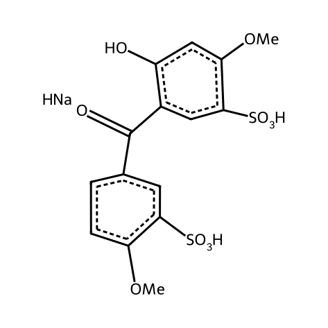 COc1ccc(C(=O)c2cc(S(=O)(=O)O)c(OC)cc2O)cc1S(=O)(=O)O.[NaH]